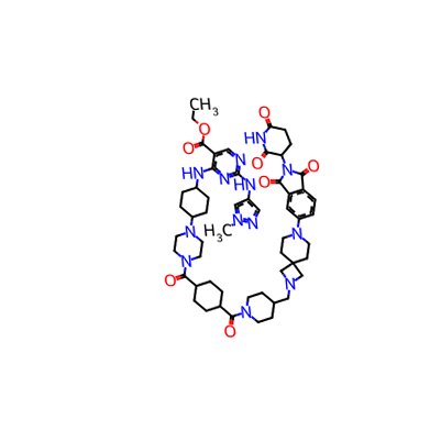 CCOC(=O)c1cnc(Nc2cnn(C)c2)nc1NC1CCC(N2CCN(C(=O)C3CCC(C(=O)N4CCC(CN5CC6(CCN(c7ccc8c(c7)C(=O)N(C7CCC(=O)NC7=O)C8=O)CC6)C5)CC4)CC3)CC2)CC1